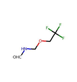 O=[C]NCOCC(F)(F)F